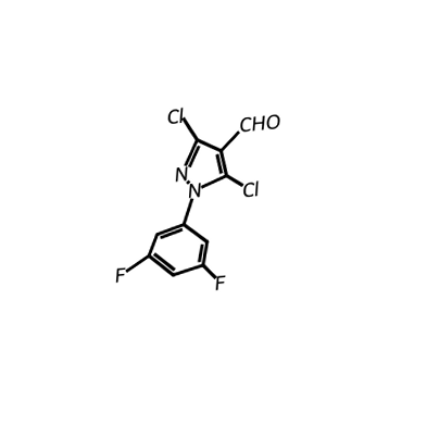 O=Cc1c(Cl)nn(-c2cc(F)cc(F)c2)c1Cl